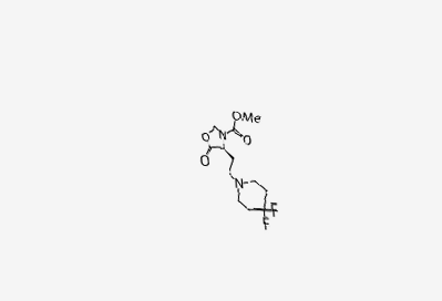 COC(=O)N1COC(=O)[C@@H]1CCN1CCC(F)(F)CC1